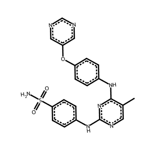 Cc1cnc(Nc2ccc(S(N)(=O)=O)cc2)nc1Nc1ccc(Oc2cncnc2)cc1